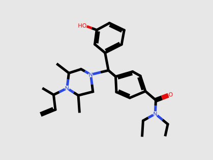 C=CC(C)N1C(C)CN(C(c2ccc(C(=O)N(CC)CC)cc2)c2cccc(O)c2)CC1C